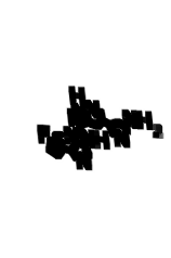 Nc1cncc(-c2cnc3[nH]nc(-c4nc5c(-c6ccc(F)s6)cncc5[nH]4)c3c2)c1